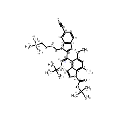 COc1cc(C)c2c(ccn2C(=O)OC(C)(C)C)c1/C(=N\[S+]([O-])C(C)(C)C)c1nc2ccc(C#N)cc2n1COCC[Si](C)(C)C